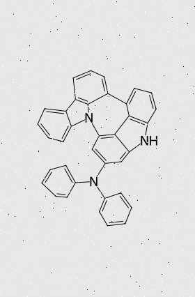 c1ccc(N(c2ccccc2)c2cc3[nH]c4cccc5c6cccc7c8ccccc8n(c(c2)c3c45)c67)cc1